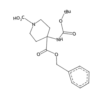 CC(C)(C)OC(=O)NC1(C(=O)OCc2ccccc2)CCN(C(=O)O)CC1